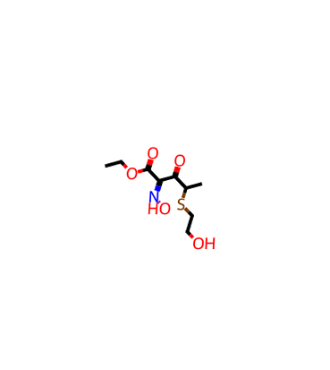 CCOC(=O)C(=NO)C(=O)C(C)SCCO